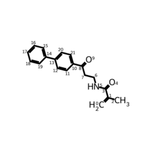 C=C(C)C(=O)NCCC(=O)c1ccc(-c2ccccc2)cc1